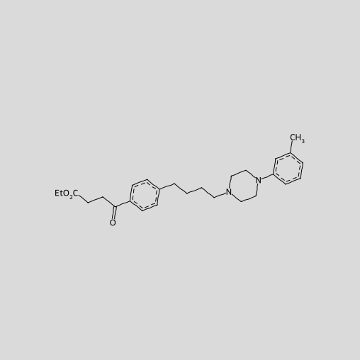 CCOC(=O)CCC(=O)c1ccc(CCCCN2CCN(c3cccc(C)c3)CC2)cc1